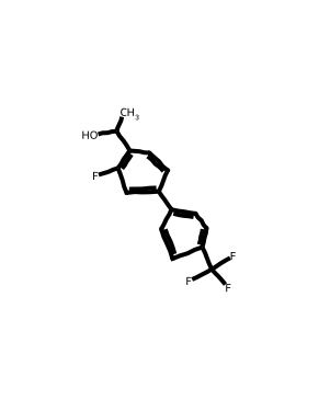 CC(O)c1ccc(-c2ccc(C(F)(F)F)cc2)cc1F